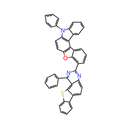 c1ccc(-c2nc(-c3cccc4c3oc3ccc5c(c6ccccc6n5-c5ccccc5)c34)nc3ccc4c5ccccc5sc4c23)cc1